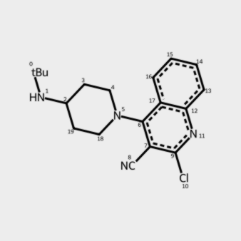 CC(C)(C)NC1CCN(c2c(C#N)c(Cl)nc3ccccc23)CC1